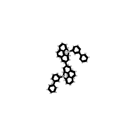 c1ccc(-c2cccc(-n3c4cccc5ccc6cc(-c7cc8ccc9cccc%10c9c8c(c7)n%10-c7cccc(-c8ccccc8)c7)cc3c6c54)c2)cc1